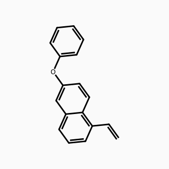 C=Cc1cccc2cc(Oc3ccccc3)ccc12